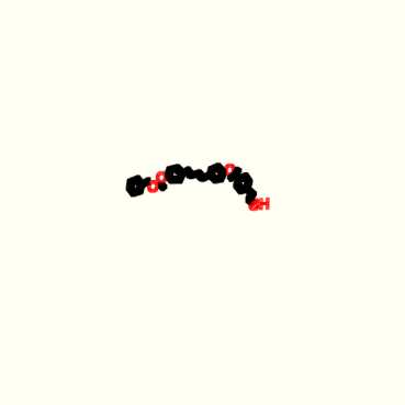 CC(OCc1ccccc1)Oc1ccc(C=CC=Cc2ccc(OC(C)(C)c3ccc(C=CO)cc3)cc2)cc1